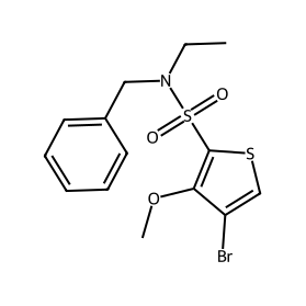 CCN(Cc1ccccc1)S(=O)(=O)c1scc(Br)c1OC